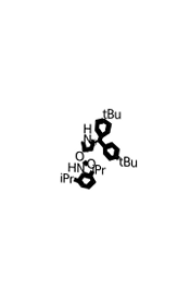 CC(C)c1cccc(C(C)C)c1NC(=O)O[C@H]1CN[C@@H](C(c2ccc(C(C)(C)C)cc2)c2ccc(C(C)(C)C)cc2)C1